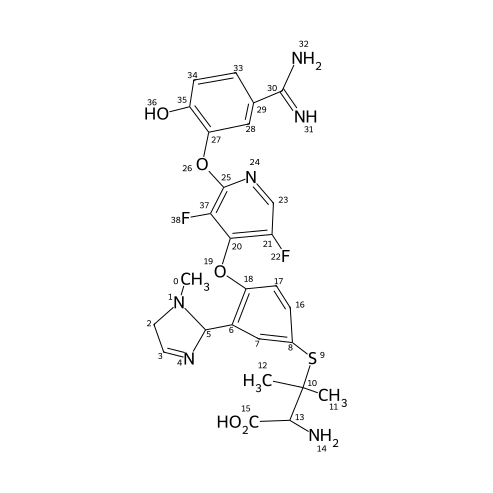 CN1CC=NC1c1cc(SC(C)(C)C(N)C(=O)O)ccc1Oc1c(F)cnc(Oc2cc(C(=N)N)ccc2O)c1F